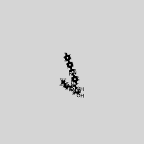 Cc1ccc(-c2ccc(-c3cnc(-c4ccc(C[C@H](NC(=O)c5ccc(C(C)(C)C)s5)C(O)N[C@H](C)C(=O)O)cc4)nc3)cc2)cc1